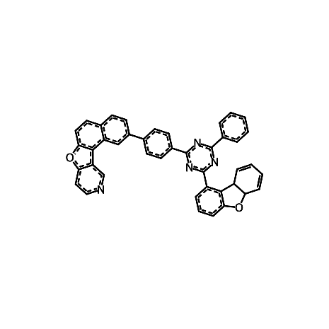 C1=CC2Oc3cccc(-c4nc(-c5ccccc5)nc(-c5ccc(-c6ccc7ccc8oc9ccncc9c8c7c6)cc5)n4)c3C2C=C1